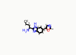 NC(CCC(F)(F)F)c1nc2ccc(-c3cnco3)cc2[nH]1